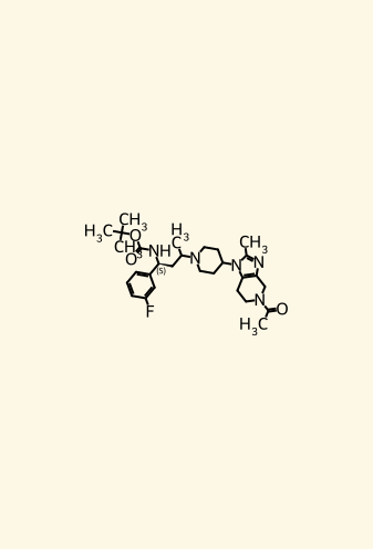 CC(=O)N1CCc2c(nc(C)n2C2CCN(C(C)C[C@H](NC(=O)OC(C)(C)C)c3cccc(F)c3)CC2)C1